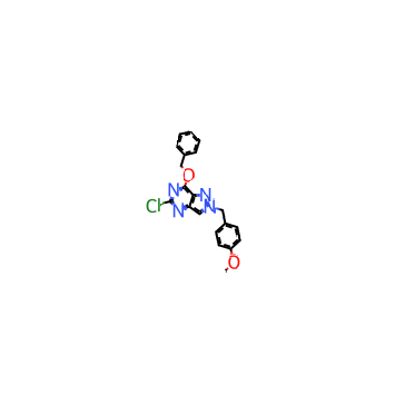 COc1ccc(Cn2cc3nc(Cl)nc(OCc4ccccc4)c3n2)cc1